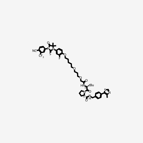 Cc1ncsc1-c1ccc(CNC(=O)[C@@H]2CCCN2C(=O)[C@@H](NC(=O)COCCCOCCCCCOc2ccc(N3C(=S)N(c4ccc(C#N)c(C(F)(F)F)c4)C(=O)C3(C)C)cc2F)C(C)(C)C)cc1